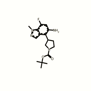 Cn1ncc2c(C3CCN(C(=O)OC(C)(C)C)C3)c(N)cc(F)c21